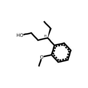 CC[C@H](CCO)c1ccccc1OC